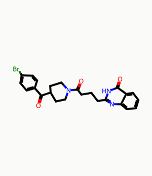 O=C(c1ccc(Br)cc1)C1CCN(C(=O)CCCc2nc3ccccc3c(=O)[nH]2)CC1